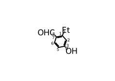 CCc1cc(O)ccc1C=O